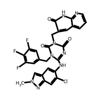 Cn1cc2cc(Nc3nc(=O)n(Cc4cc5cccnc5[nH]c4=O)c(=O)n3Cc3cc(F)c(F)c(F)c3)c(Cl)cc2n1